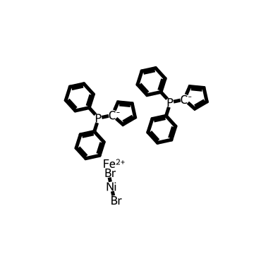 [Br][Ni][Br].[Fe+2].c1ccc(P(c2ccccc2)[c-]2cccc2)cc1.c1ccc(P(c2ccccc2)[c-]2cccc2)cc1